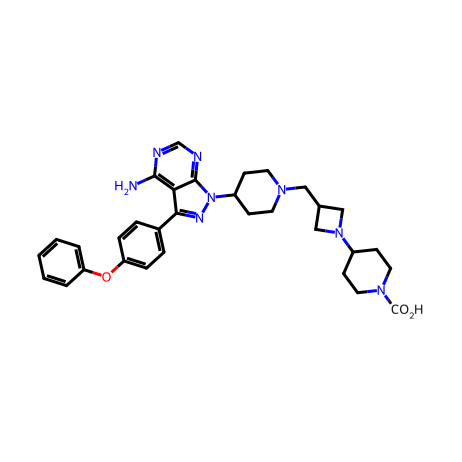 Nc1ncnc2c1c(-c1ccc(Oc3ccccc3)cc1)nn2C1CCN(CC2CN(C3CCN(C(=O)O)CC3)C2)CC1